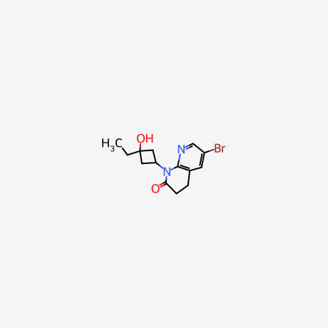 CCC1(O)CC(N2C(=O)CCc3cc(Br)cnc32)C1